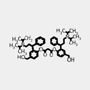 CC(C)N(CCC(c1ccccc1)c1cc(CO)ccc1OC(=O)CC(=O)Oc1ccc(CO)cc1C(CCN(C(C)C)C(C)C)c1ccccc1)C(C)C